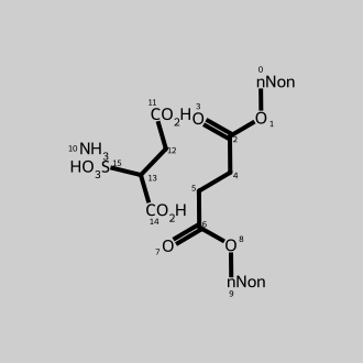 CCCCCCCCCOC(=O)CCC(=O)OCCCCCCCCC.N.O=C(O)CC(C(=O)O)S(=O)(=O)O